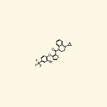 O=C(c1sccc1Oc1ccc(C(F)(F)F)cc1Br)N1CCN(C2CC2)c2ccccc21